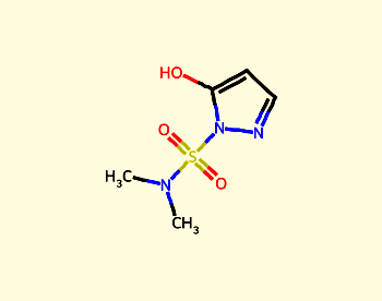 CN(C)S(=O)(=O)n1nccc1O